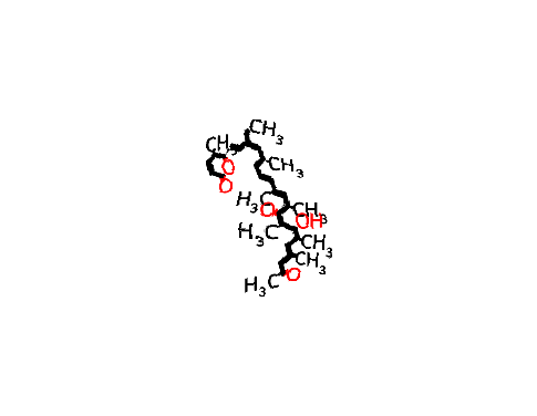 CCC(=C/[C@H](C)C/C=C/C(C)=C/[C@@H](C)C(=O)[C@@H](C)[C@H](O)[C@@H](C)C/C(C)=C/C(C)=O)/C=C/[C@@H]1OC(=O)C=C[C@@H]1C